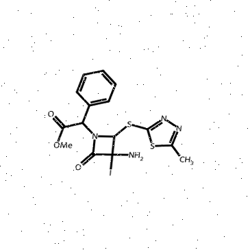 COC(=O)C(c1ccccc1)N1C(=O)C(N)(I)C1Sc1nnc(C)s1